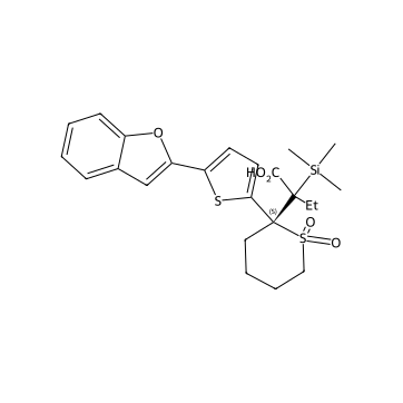 CCC(C(=O)O)([C@]1(c2ccc(-c3cc4ccccc4o3)s2)CCCCS1(=O)=O)[Si](C)(C)C